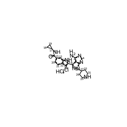 Cl.Nc1ncnc2c1c(-c1[nH]c3cc(C(=O)NC4CC4)ccc3c1Cl)nn2C1CCNCC1